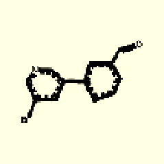 O=Cc1cccc(-c2cncc(Br)c2)c1